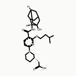 CC(C)CCSc1nc(N2CCC[C@@H](CC(=O)O)C2)ccc1C(=O)N[C@@H]1C2CC3C[C@@H](C2)CC1(O)C3